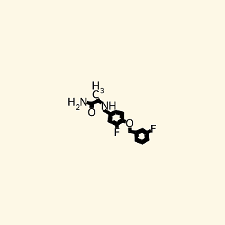 CC(NCc1ccc(OCc2cccc(F)c2)c(F)c1)C(N)=O